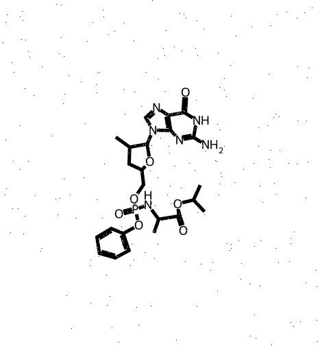 CC(C)OC(=O)C(C)NP(=O)(OCC1CC(C)C(n2cnc3c(=O)[nH]c(N)nc32)O1)Oc1ccccc1